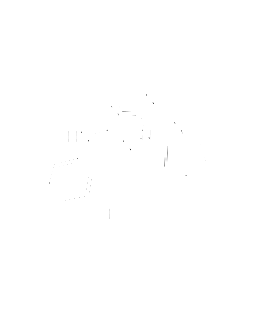 Nc1nc(Nc2cccc(C(F)(F)F)c2)nn1-c1ccccn1